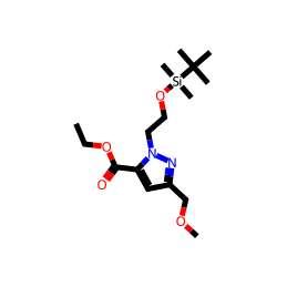 CCOC(=O)c1cc(COC)nn1CCO[Si](C)(C)C(C)(C)C